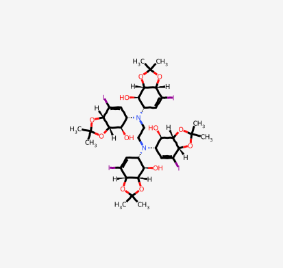 CC1(C)O[C@H]2[C@H](O)[C@@H](N(CCN([C@H]3C=C(I)[C@H]4OC(C)(C)O[C@H]4[C@@H]3O)[C@H]3C=C(I)[C@H]4OC(C)(C)O[C@H]4[C@@H]3O)[C@H]3C=C(I)[C@H]4OC(C)(C)O[C@H]4[C@@H]3O)C=C(I)[C@H]2O1